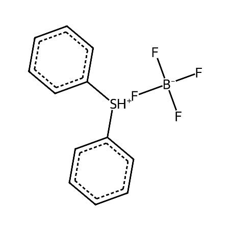 F[B-](F)(F)F.c1ccc([SH+]c2ccccc2)cc1